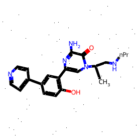 CCCNCC(C)n1cc(-c2cc(-c3ccncc3)ccc2O)nc(N)c1=O